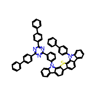 c1ccc(-c2ccc(-c3nc(-c4ccc(-c5ccccc5)cc4)nc(-c4cccc(-n5c6ccccc6c6ccc7c8ccc9c%10ccccc%10n(-c%10ccc(-c%11ccccc%11)cc%10)c9c8sc7c65)c4)n3)cc2)cc1